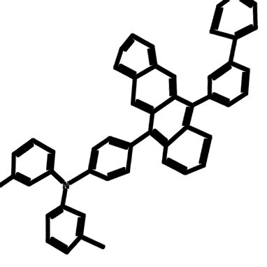 Cc1cccc(N(c2ccc(-c3c4ccccc4c(-c4cccc(-c5ccccc5)c4)c4cc5ccccc5cc34)cc2)c2cccc(C)c2)c1